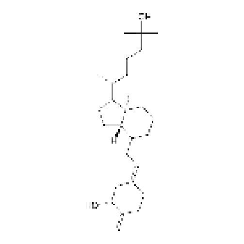 C=C1CC/C(=C/CC2CCC[C@]3(C)[C@@H]([C@H](C)CCCC(C)(C)O)CC[C@@H]23)C[C@H]1O